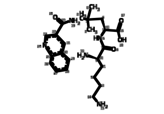 CC(C)(C)C[C@H](NC(=O)[C@H](N)CCCCN)C(=O)O.NC(=O)c1cnc2ccccc2c1